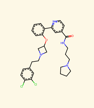 O=C(NCCCN1CCCC1)c1ccnc(-c2ccccc2OC2CN(CCc3ccc(Cl)c(Cl)c3)C2)c1